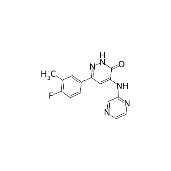 Cc1cc(-c2cc(Nc3cnccn3)c(=O)[nH]n2)ccc1F